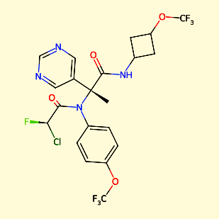 C[C@](C(=O)NC1CC(OC(F)(F)F)C1)(c1cncnc1)N(C(=O)[C@H](F)Cl)c1ccc(OC(F)(F)F)cc1